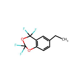 CCc1ccc2c(c1)C(F)(F)OC(F)(F)O2